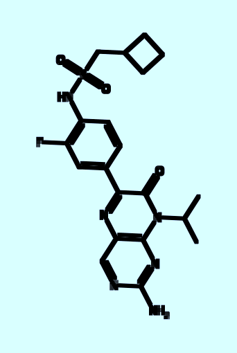 CC(C)n1c(=O)c(-c2ccc(NS(=O)(=O)CC3CCC3)c(F)c2)nc2cnc(N)nc21